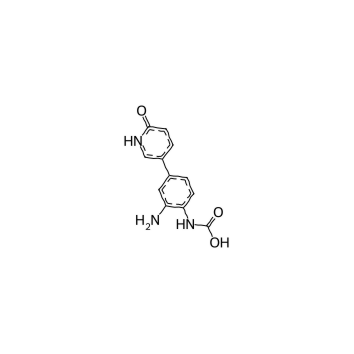 Nc1cc(-c2ccc(=O)[nH]c2)ccc1NC(=O)O